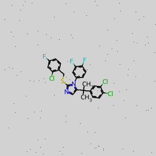 CC(C)(c1ccc(Cl)c(Cl)c1)c1cnc(SCc2ccc(F)cc2Cl)n1-c1ccc(F)c(F)c1